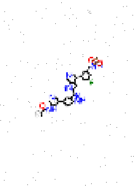 CCC(=O)Nc1cncc(-c2ccc3[nH]nc(-c4cc5c(-c6cc(F)cc(CNS(C)(=O)=O)c6)cncc5[nH]4)c3c2)c1